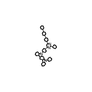 c1ccc(-c2ccc(-c3ccc(-c4cc(-c5ccc(-n6c7ccccc7c7cc8c9ccccc9n(-c9ccccc9)c8cc76)cc5)nc(-c5ccccc5)n4)cc3)cc2)cc1